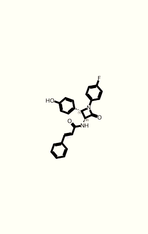 O=C(/C=C/c1ccccc1)N[C@H]1C(=O)N(c2ccc(F)cc2)[C@H]1c1ccc(O)cc1